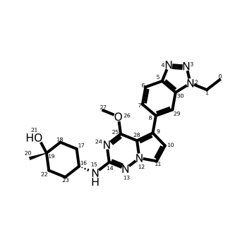 CCn1nnc2ccc(-c3ccn4nc(N[C@H]5CC[C@@](C)(O)CC5)nc(OC)c34)cc21